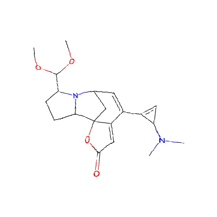 COC(OC)C1CCC2N1C1C=C(C3=CC3N(C)C)C3=CC(=O)OC32C1